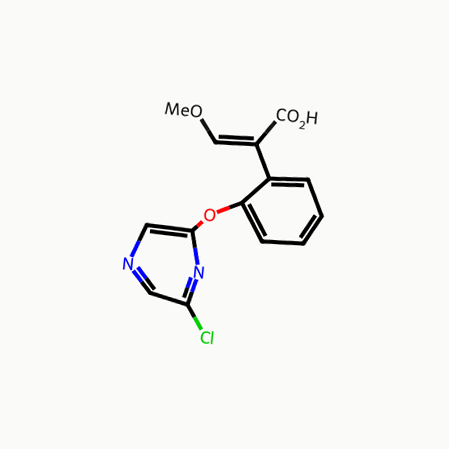 COC=C(C(=O)O)c1ccccc1Oc1cncc(Cl)n1